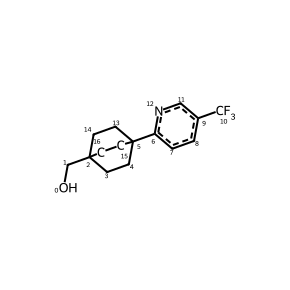 OCC12CCC(c3ccc(C(F)(F)F)cn3)(CC1)CC2